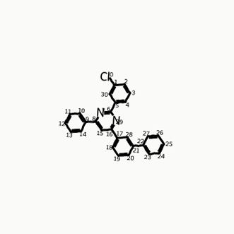 Clc1cccc(-c2nc(-c3ccccc3)cc(-c3cccc(-c4ccccc4)c3)n2)c1